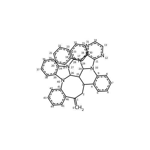 C=C1CC2c3ccccc3N3c4nccnc4N(c4ccccc4)C3C2C2N(c3ccccc3)c3ccccc3N2c2ccccc21